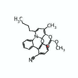 CCCCc1cc(C)c(OC(=O)OC)c(=O)n1-c1ccccc1-c1ccccc1C#N